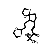 CCCCC(C)(F)C(=O)C=CC1CCC2(OCCO2)C1CCC1SCCS1